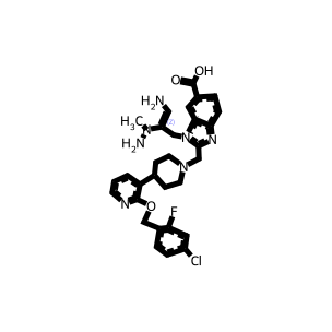 CN(N)/C(=C\N)Cn1c(CN2CCC(c3cccnc3OCc3ccc(Cl)cc3F)CC2)nc2ccc(C(=O)O)cc21